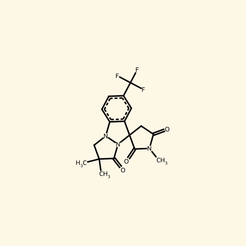 CN1C(=O)CC2(C1=O)c1cc(C(F)(F)F)ccc1N1CC(C)(C)C(=O)N12